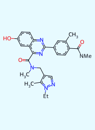 CCn1ncc(CN(C)C(=O)c2nc(-c3ccc(C(=O)NC)c(C)c3)nc3ccc(O)cc23)c1C